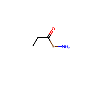 CCC(=O)SN